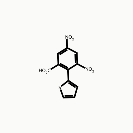 O=C(O)c1cc([N+](=O)[O-])cc([N+](=O)[O-])c1-c1cccs1